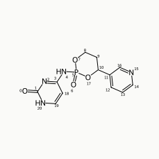 O=c1nc(NP2(=O)OCCC(c3cccnc3)O2)cc[nH]1